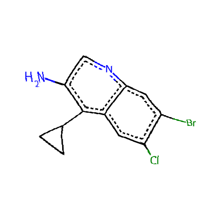 Nc1cnc2cc(Br)c(Cl)cc2c1C1CC1